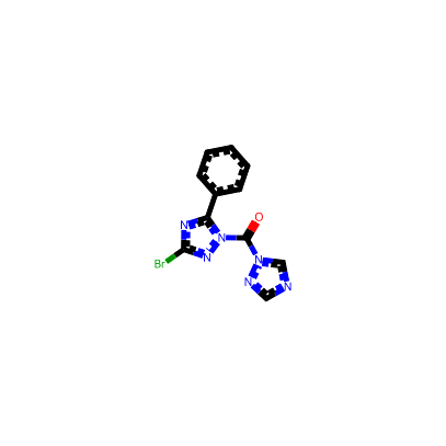 O=C(n1cncn1)n1nc(Br)nc1-c1ccccc1